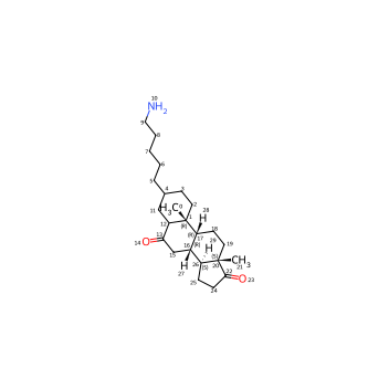 C[C@]12CCC(CCCCCN)CC1C(=O)C[C@@H]1[C@H]2CC[C@]2(C)C(=O)CC[C@@H]12